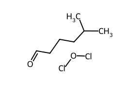 CC(C)CCCC=O.ClOCl